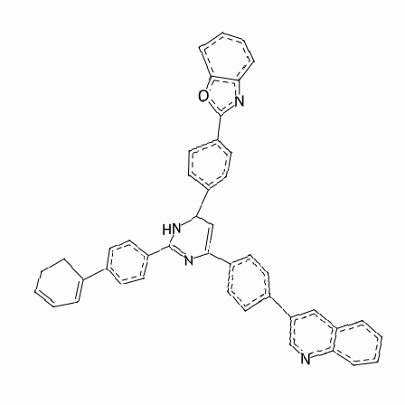 C1=CCCC(c2ccc(C3=NC(c4ccc(-c5cnc6ccccc6c5)cc4)=CC(c4ccc(-c5nc6ccccc6o5)cc4)N3)cc2)=C1